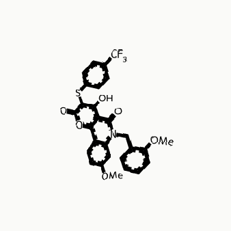 COc1ccc2c3oc(=O)c(Sc4ccc(C(F)(F)F)cc4)c(O)c3c(=O)n(Cc3ccccc3OC)c2c1